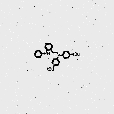 CC(C)(C)c1ccc(P(CCc2ccccc2Pc2ccccc2)c2ccc(C(C)(C)C)cc2)cc1